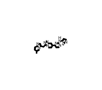 Cc1ccc2ncc(Cc3nnc4cc(-c5ccnc(Nc6ccnn6C)n5)ccn34)n2c1